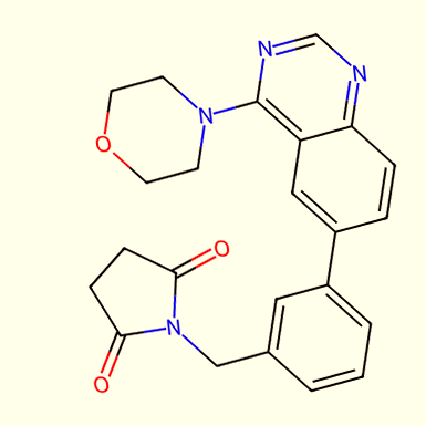 O=C1CCC(=O)N1Cc1cccc(-c2ccc3ncnc(N4CCOCC4)c3c2)c1